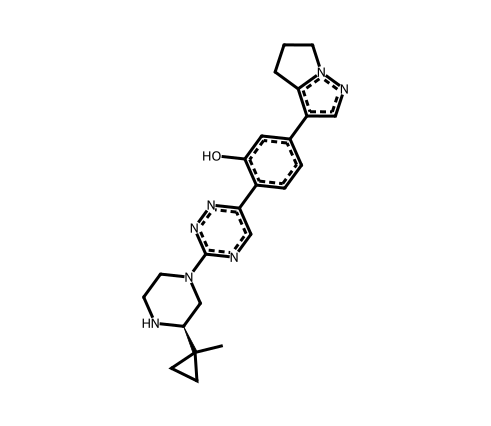 CC1([C@@H]2CN(c3ncc(-c4ccc(-c5cnn6c5CCC6)cc4O)nn3)CCN2)CC1